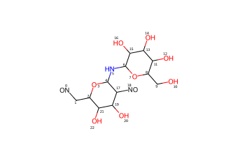 O=NCC1OC(NC2OC(CO)C(O)C(O)C2O)C(N=O)C(O)C1O